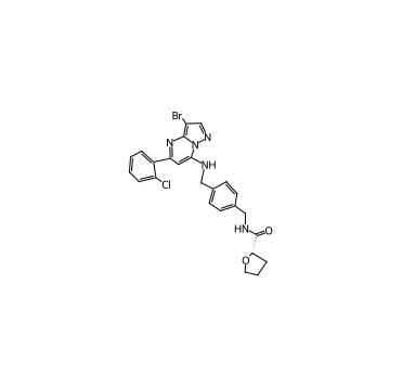 O=C(NCc1ccc(CNc2cc(-c3ccccc3Cl)nc3c(Br)cnn23)cc1)[C@@H]1CCCO1